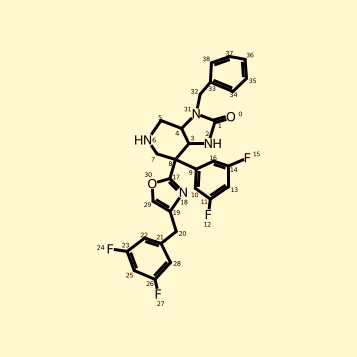 O=C1NC2C(CNCC2(c2cc(F)cc(F)c2)c2nc(Cc3cc(F)cc(F)c3)co2)N1Cc1ccccc1